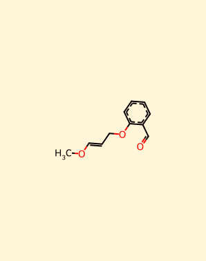 COC=CCOc1ccccc1C=O